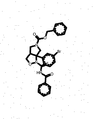 O=C(NC(=S)N1OCC2CN(C(=O)OCc3ccccc3)CC21c1cccc(Br)c1)c1ccccc1